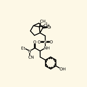 CCN(C#N)C(=O)C(Cc1ccc(O)cc1)NS(=O)(=O)CC12CCC(CC1=O)C2(C)C